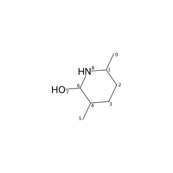 CC1CCC(C)C(O)N1